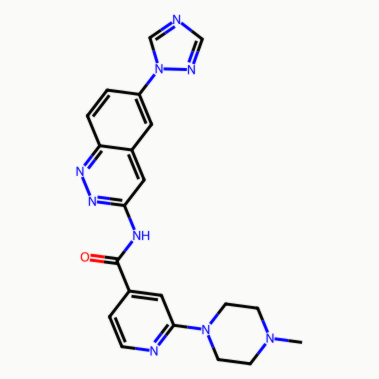 CN1CCN(c2cc(C(=O)Nc3cc4cc(-n5cncn5)ccc4nn3)ccn2)CC1